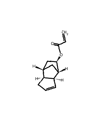 C=CC(=O)O[C@@H]1C[C@@H]2C[C@H]1[C@H]1C=CC[C@@H]21